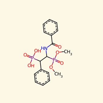 COP(=O)(OC)C(NC(=O)c1ccccc1)C(c1ccccc1)P(=O)(O)O